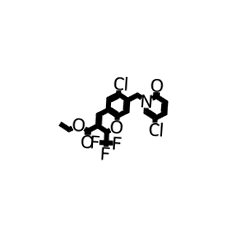 CCOC(=O)C1=Cc2cc(Cl)c(Cn3cc(Cl)ccc3=O)cc2OC1C(F)(F)F